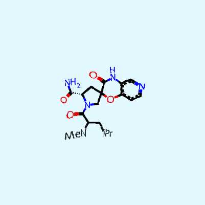 CNC(CC(C)C)C(=O)N1CC2(C[C@H]1C(N)=O)Oc1ccncc1NC2=O